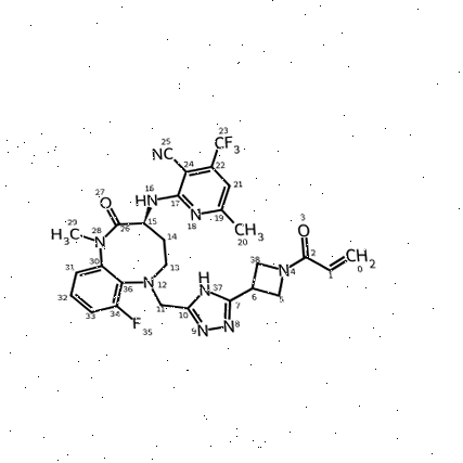 C=CC(=O)N1CC(c2nnc(CN3CC[C@H](Nc4nc(C)cc(C(F)(F)F)c4C#N)C(=O)N(C)c4cccc(F)c43)[nH]2)C1